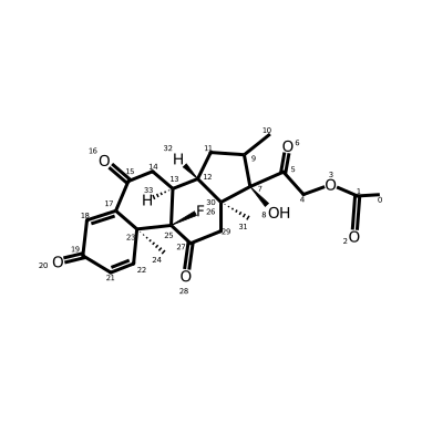 CC(=O)OCC(=O)[C@@]1(O)C(C)C[C@H]2[C@@H]3CC(=O)C4=CC(=O)C=C[C@]4(C)[C@@]3(F)C(=O)C[C@@]21C